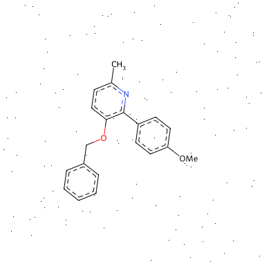 COc1ccc(-c2nc(C)ccc2OCc2ccccc2)cc1